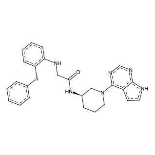 O=C(CNc1ccccc1Sc1ccccc1)N[C@@H]1CCCN(c2ncnc3[nH]ccc23)C1